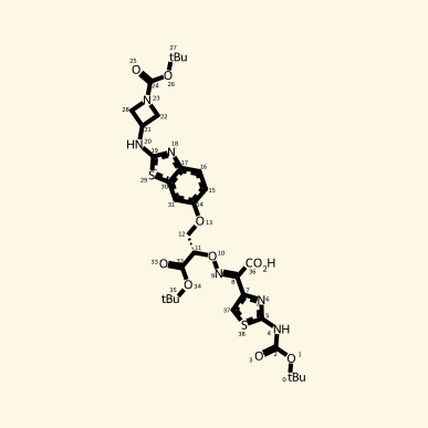 CC(C)(C)OC(=O)Nc1nc(/C(=N/O[C@@H](COc2ccc3nc(NC4CN(C(=O)OC(C)(C)C)C4)sc3c2)C(=O)OC(C)(C)C)C(=O)O)cs1